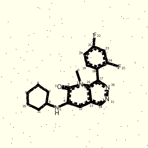 Cn1c(=O)c(NC2CCCCC2)cc2cnnc(-c3ccc(F)cc3F)c21